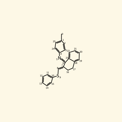 Cc1ccc(N=C2/C(=C/Sc3ccccc3)CCc3ccccc32)cc1